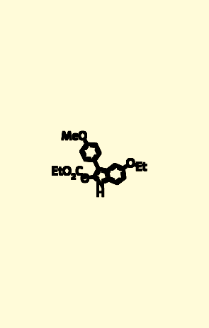 CCOC(=O)Oc1[nH]c2ccc(OCC)cc2c1-c1ccc(OC)cc1